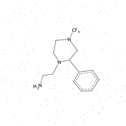 NCCN1CCN(C(F)(F)F)CC1c1ccccc1